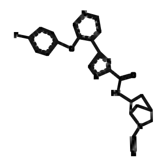 N#CN1CC2CC(NC(=O)c3ncc(-c4ccncc4Oc4ccc(F)cc4)s3)C1C2